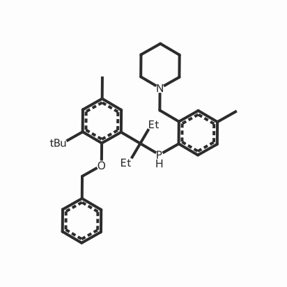 CCC(CC)(Pc1ccc(C)cc1CN1CCCCC1)c1cc(C)cc(C(C)(C)C)c1OCc1ccccc1